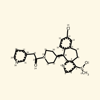 C[S+]([O-])c1ccnc2c1CCc1cc(Cl)ccc1C2=C1CCN(C(=O)Cc2cccnc2)CC1